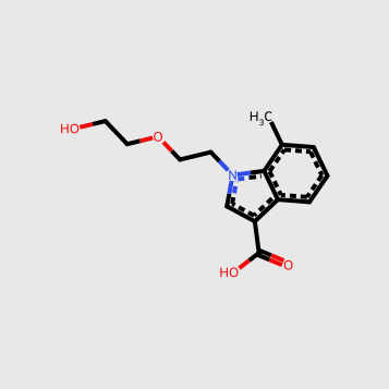 Cc1cccc2c(C(=O)O)cn(CCOCCO)c12